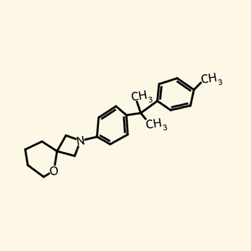 Cc1ccc(C(C)(C)c2ccc(N3CC4(CCCCO4)C3)cc2)cc1